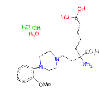 COc1ccccc1N1CCN(CCC(N)(CCCCB(O)O)C(=O)O)CC1.Cl.Cl.O